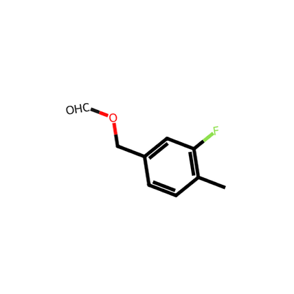 Cc1ccc(COC=O)cc1F